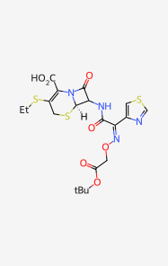 CCSC1=C(C(=O)O)N2C(=O)C(NC(=O)/C(=N\OCC(=O)OC(C)(C)C)c3cscn3)[C@H]2SC1